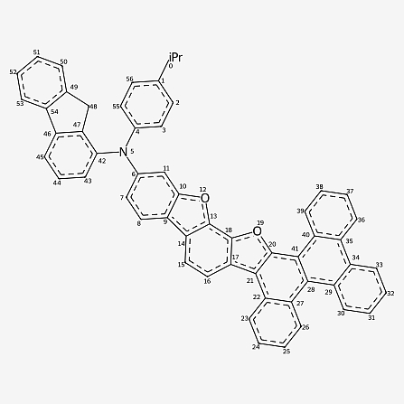 CC(C)c1ccc(N(c2ccc3c(c2)oc2c3ccc3c2oc2c3c3ccccc3c3c4ccccc4c4ccccc4c23)c2cccc3c2Cc2ccccc2-3)cc1